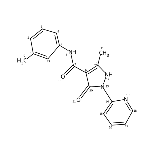 Cc1cccc(NC(=O)c2c(C)[nH]n(-c3ccccn3)c2=O)c1